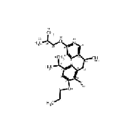 CCCOc1cc(C(C)C)cc(CC(C)c2ccc(OCC(C)C)nc2)c1Cl